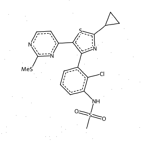 CSc1nccc(-c2sc(C3CC3)nc2-c2cccc(NS(C)(=O)=O)c2Cl)n1